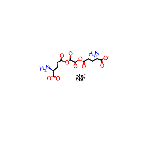 N[C@@H](CCC(=O)OC(=O)C(=O)OC(=O)CC[C@H](N)C(=O)[O-])C(=O)[O-].[Na+].[Na+]